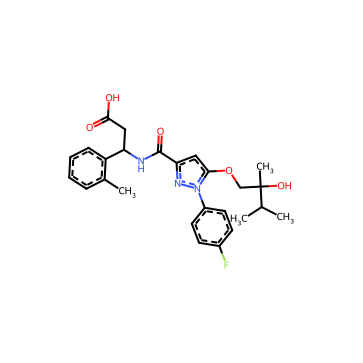 Cc1ccccc1C(CC(=O)O)NC(=O)c1cc(OCC(C)(O)C(C)C)n(-c2ccc(F)cc2)n1